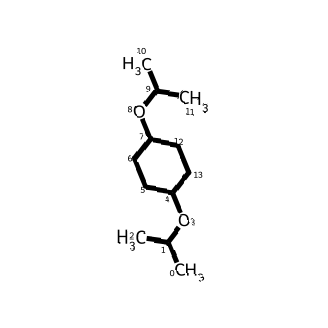 CC(C)OC1CCC(OC(C)C)CC1